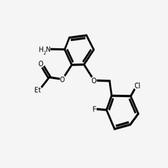 CCC(=O)Oc1c(N)cccc1OCc1c(F)cccc1Cl